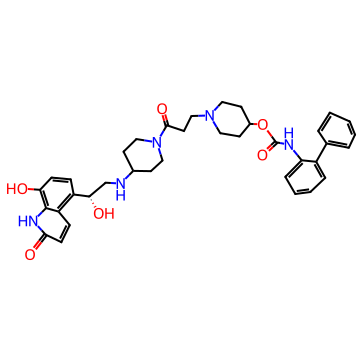 O=C(Nc1ccccc1-c1ccccc1)OC1CCN(CCC(=O)N2CCC(NC[C@H](O)c3ccc(O)c4[nH]c(=O)ccc34)CC2)CC1